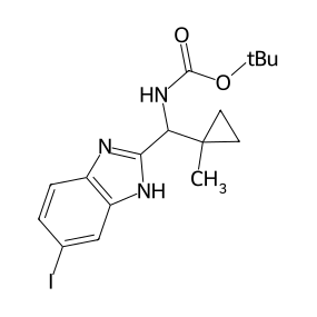 CC(C)(C)OC(=O)NC(c1nc2ccc(I)cc2[nH]1)C1(C)CC1